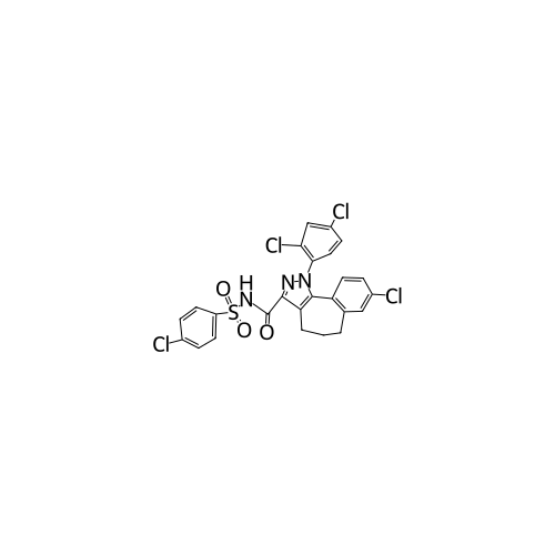 O=C(NS(=O)(=O)c1ccc(Cl)cc1)c1nn(-c2ccc(Cl)cc2Cl)c2c1CCCc1cc(Cl)ccc1-2